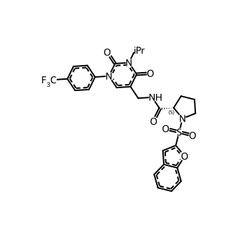 CC(C)n1c(=O)c(CNC(=O)[C@@H]2CCCN2S(=O)(=O)c2cc3ccccc3o2)cn(-c2ccc(C(F)(F)F)cc2)c1=O